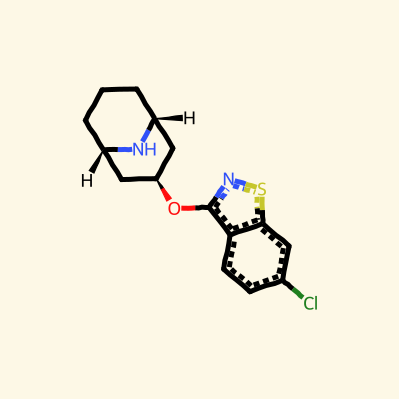 Clc1ccc2c(O[C@@H]3C[C@H]4CCC[C@@H](C3)N4)nsc2c1